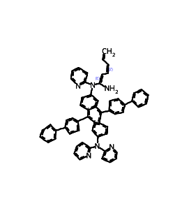 C=C/C=C\C=C(/N)N(c1ccc2c(-c3ccc(-c4ccccc4)cc3)c3cc(N(c4ccccn4)c4ccccn4)ccc3c(-c3ccc(-c4ccccc4)cc3)c2c1)c1ccccn1